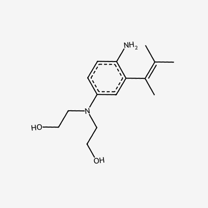 CC(C)=C(C)c1cc(N(CCO)CCO)ccc1N